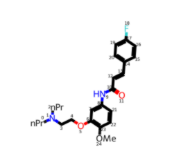 CCCN(CCC)CCOc1cc(NC(=O)C=Cc2ccc(F)cc2)ccc1OC